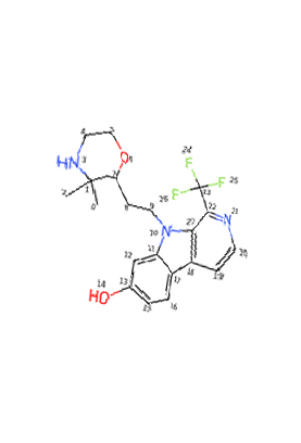 CC1(C)NCCOC1CCn1c2cc(O)ccc2c2ccnc(C(F)(F)F)c21